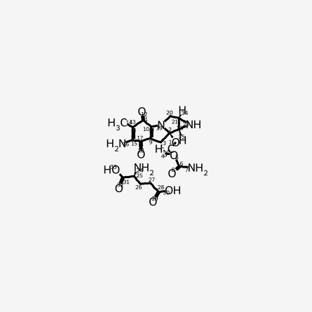 CO[C@@]12[C@H](COC(N)=O)C3=C(C(=O)C(C)=C(N)C3=O)N1C[C@@H]1N[C@@H]12.N[C@@H](CCC(=O)O)C(=O)O